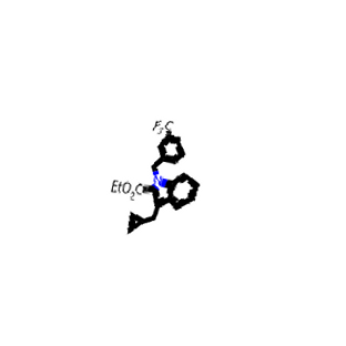 CCOC(=O)c1c(CC2CC2)c2ccccc2n1Cc1cccc(C(F)(F)F)c1